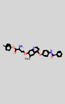 COc1cc2c(Oc3ccc(NC(=O)c4ccccc4)cc3)ccnc2cc1OCC[C@H](N)C(=O)O[C@]12CC[C@H](CC1)C2